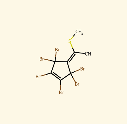 N#CC(SC(F)(F)F)=C1C(Br)(Br)C(Br)=C(Br)C1(Br)Br